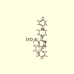 CCOC(=O)c1c(N2CCN(c3ccc(C)cc3)CC2)nnc2c1CCc1ccccc1-2